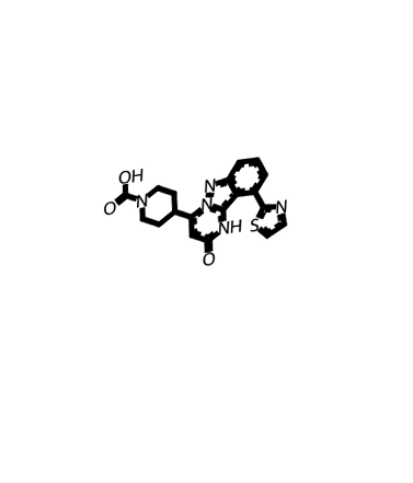 O=C(O)N1CCC(c2cc(=O)[nH]c3c4c(-c5nccs5)cccc4nn23)CC1